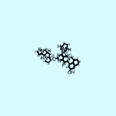 C#Cc1cccc2cc(O)cc(-c3ncc4c(N5C[C@H]6CC[C@@H](C5)N6)nc(OC[C@]56CCCN5[C@H]5c7ccnn7C[C@H]5C6)nc4c3F)c12